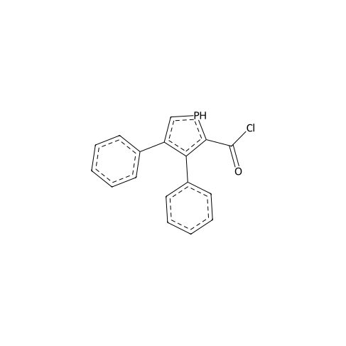 O=C(Cl)c1[pH]cc(-c2ccccc2)c1-c1ccccc1